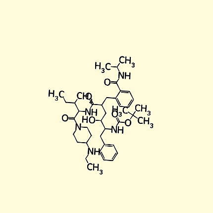 CCNC1CCN(C(=O)C(NC(=O)C(Cc2ccccc2C(=O)NC(C)C)CC(O)C(Cc2ccccc2)NC(=O)OC(C)(C)C)C(C)CC)CC1